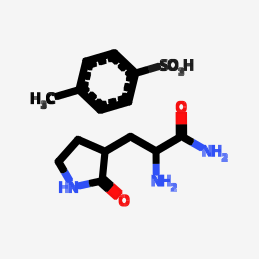 Cc1ccc(S(=O)(=O)O)cc1.NC(=O)C(N)CC1CCNC1=O